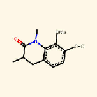 COc1c(C=O)ccc2c1N(C)C(=O)C(C)C2